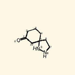 O=C1CCCC2(CCNN2)C1